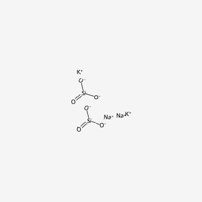 O=[Si]([O-])[O-].O=[Si]([O-])[O-].[K+].[K+].[Na+].[Na+]